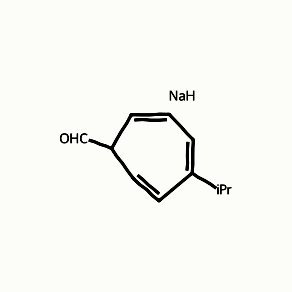 CC(C)C1=CC=CC(C=O)C=C1.[NaH]